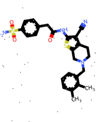 Cc1cccc(CN2CCc3c(sc(NC(=O)Cc4ccc(S(N)(=O)=O)cc4)c3C#N)C2)c1C